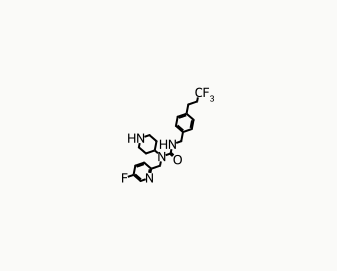 O=C(NCc1ccc(CCC(F)(F)F)cc1)N(Cc1ccc(F)cn1)C1CCNCC1